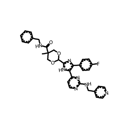 CC1(C(=O)NCc2ccccc2)COC(c2nc(-c3ccc(F)cc3)c(-c3ccnc(NCc4ccncc4)n3)[nH]2)OC1